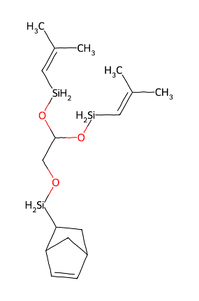 CC(C)=C[SiH2]OC(CO[SiH2]C1CC2C=CC1C2)O[SiH2]C=C(C)C